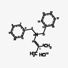 CC(C)=CN(Cc1ccccc1)Cc1ccccc1.Cl